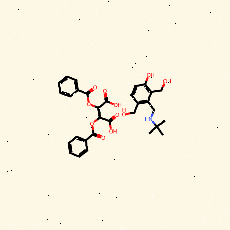 CC(C)(C)NCc1c(CO)ccc(O)c1CO.O=C(OC(C(=O)O)C(OC(=O)c1ccccc1)C(=O)O)c1ccccc1